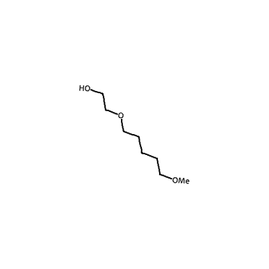 COCCCCCOCCO